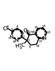 CC1(c2ccc(Cl)nn2)CCc2ncccc2C1=O